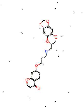 O=c1ccoc2cc(OCCCNC[C@@H]3COc4cc5c(cc4O3)OCO5)ccc12